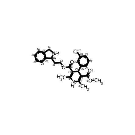 COC(=O)C1=C(C)NC(C)=C(C(=O)OCCC2NCc3ccccc32)C1c1cccc(Cl)c1